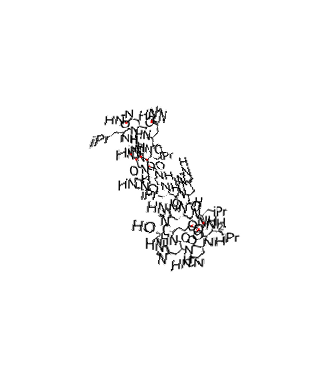 CC(C)C[C@H](NC(=O)[C@H](CC(C)C)NC(=O)[C@H](Cc1c[nH]cn1)NC(=O)[C@H](Cc1c[nH]cn1)NC(=O)[C@H](CC(C)C)NC(=O)[C@H](Cc1c[nH]cn1)NC(=O)[C@H](Cc1c[nH]cn1)NC(=O)[C@H](CC(C)C)NC(=O)[C@H](CC(C)C)NC(=O)[C@H](Cc1c[nH]cn1)NC(=O)[C@H](Cc1c[nH]cn1)NC(=O)[C@@H](N)CC(C)C)C(=O)N[C@@H](Cc1c[nH]cn1)C(=O)N[C@@H](Cc1c[nH]cn1)C(=O)N[C@@H](CCCCN)C(=O)O